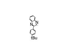 CC(C)(C)c1ccc(-c2[c]nc3ccccc3n2)cc1